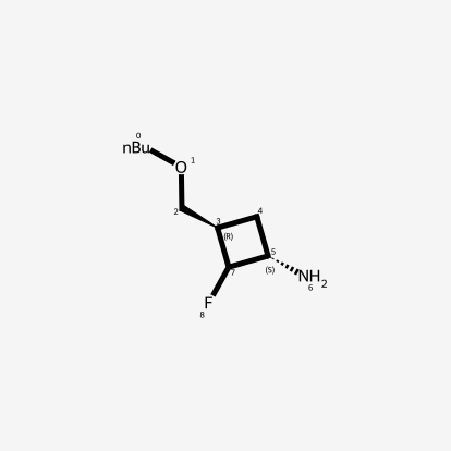 CCCCOC[C@H]1C[C@H](N)C1F